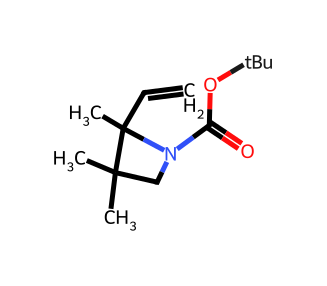 C=CC1(C)N(C(=O)OC(C)(C)C)CC1(C)C